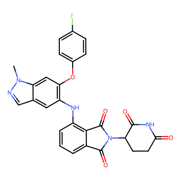 Cn1ncc2cc(Nc3cccc4c3C(=O)N(C3CCC(=O)NC3=O)C4=O)c(Oc3ccc(F)cc3)cc21